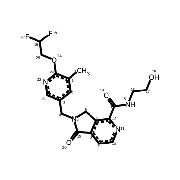 Cc1cc(CN2Cc3c(ccnc3C(=O)NCCO)C2=O)cnc1OCC(F)F